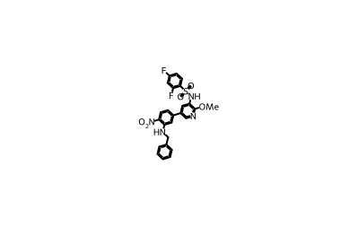 COc1ncc(-c2ccc([N+](=O)[O-])c(NCc3ccccc3)c2)cc1NS(=O)(=O)c1ccc(F)cc1F